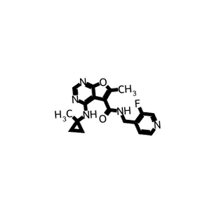 Cc1oc2ncnc(NC3(C)CC3)c2c1C(=O)NCc1ccncc1F